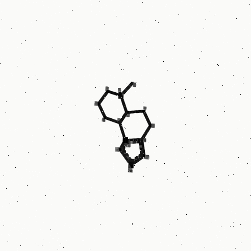 CN1CCCC2C1CCc1cncn12